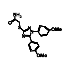 COc1ccc(-c2nc(SCC(N)=O)nn2-c2ccc(OC)cc2)cc1